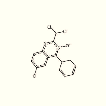 [O-][n+]1c(C(Cl)Cl)nc2ccc(Cl)cc2c1C1C=CC=CC1